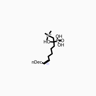 CCCCCCCCCC/C=C\CCCCC(O)(C[N+](C)(C)C)P(=O)(O)O